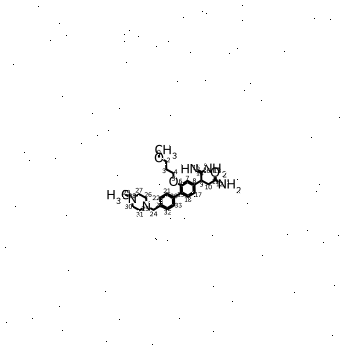 COCCCOc1cc(C(CC(N)=O)C(=N)N)ccc1-c1ccc(CN2CCN(C)CC2)cc1